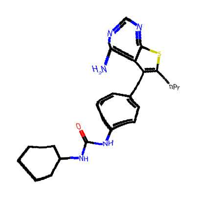 CCCc1sc2ncnc(N)c2c1-c1ccc(NC(=O)NC2CCCCC2)cc1